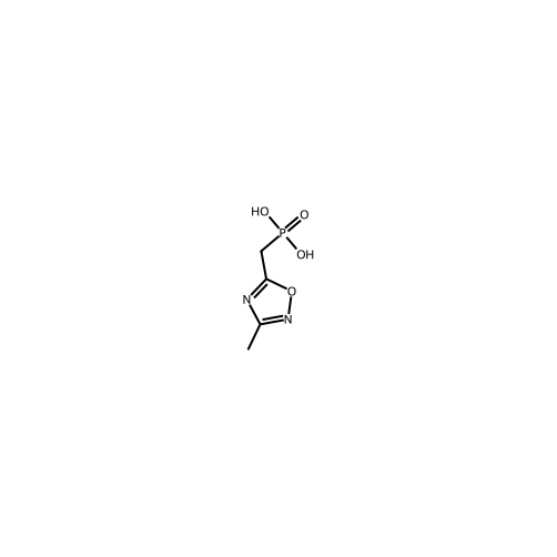 Cc1noc(CP(=O)(O)O)n1